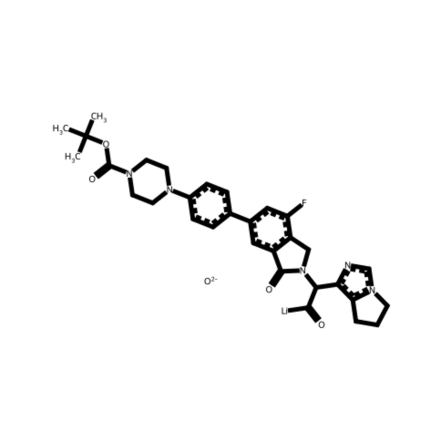 [Li][C](=O)C(c1ncn2c1CCC2)N1Cc2c(F)cc(-c3ccc(N4CCN(C(=O)OC(C)(C)C)CC4)cc3)cc2C1=O.[O-2]